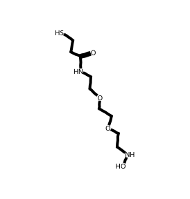 O=C(CCS)NCCOCCOCCNO